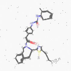 Cc1ccccc1NC(=O)Nc1ccc(CC(=O)N2Cc3ccccc3CC2c2ncc(CCC(=O)O)s2)cc1